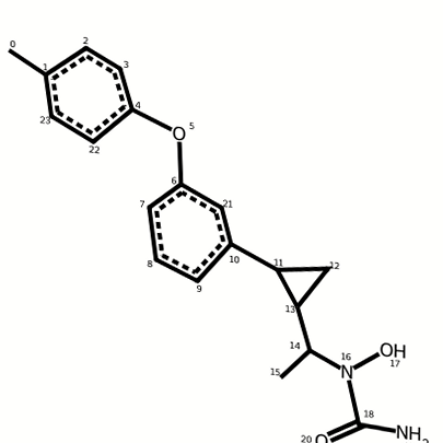 Cc1ccc(Oc2cccc(C3CC3C(C)N(O)C(N)=O)c2)cc1